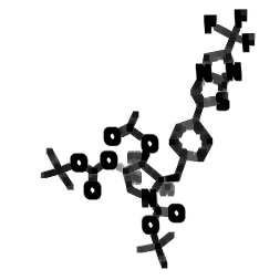 CC(=O)O[C@@H]1[C@@H](OC(=O)OC(C)(C)C)CN(C(=O)OC(C)(C)C)[C@@H]1Cc1ccc(-c2cn3cc(C(F)(F)F)nc3s2)cc1